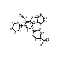 CC(=O)c1ccc(-c2cc(N3CCCCC3)c(C#N)c3c2-c2ccccc2C3)cc1